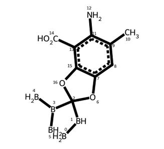 BBC1(B(B)B)Oc2cc(C)c(N)c(C(=O)O)c2O1